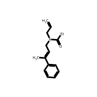 C=CCN(C/C=C(\C)c1ccccc1)C(=O)CC